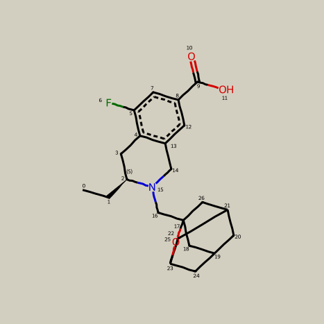 CC[C@H]1Cc2c(F)cc(C(=O)O)cc2CN1CC12CC3CC(CC(C3)O1)C2